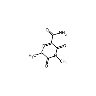 Cn1nc(C(N)=O)c(=O)n(C)c1=O